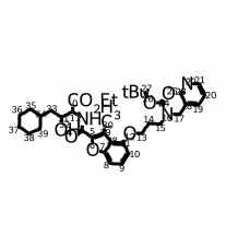 CCOC(=O)C(NC(=O)c1oc2cccc(OCCCN(Cc3cccnc3)C(=O)OC(C)(C)C)c2c1C)C(O)CC1CCCCC1